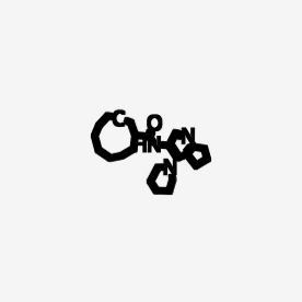 O=C(Nc1cnc2c(c1N1CCCCC1)CCC2)C1CCCCCCCCC1